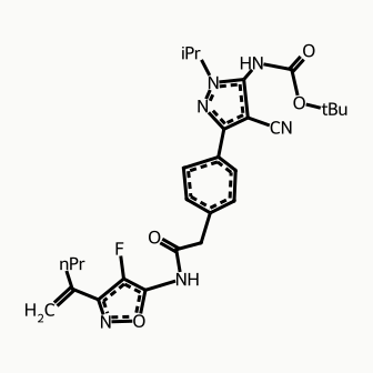 C=C(CCC)c1noc(NC(=O)Cc2ccc(-c3nn(C(C)C)c(NC(=O)OC(C)(C)C)c3C#N)cc2)c1F